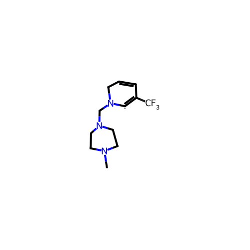 CN1CCN(CN2[C]=C(C(F)(F)F)C=CC2)CC1